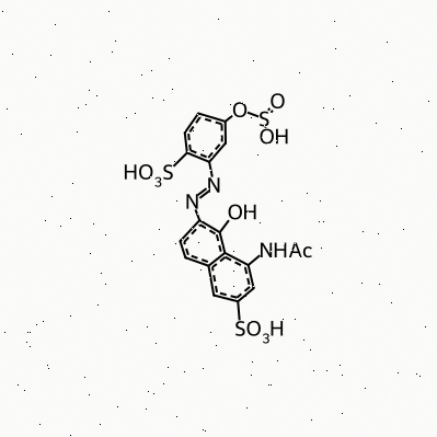 CC(=O)Nc1cc(S(=O)(=O)O)cc2ccc(N=Nc3cc(OS(=O)O)ccc3S(=O)(=O)O)c(O)c12